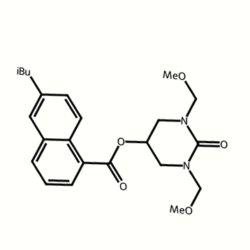 CCC(C)c1ccc2c(C(=O)OC3CN(COC)C(=O)N(COC)C3)cccc2c1